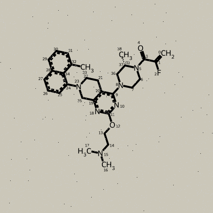 C=C(F)C(=O)N1CCN(c2nc(OCCN(C)C)nc3c2CCN(c2cccc4cccc(C)c24)C3)C[C@@H]1C